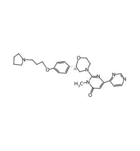 Cn1c(N2CCO[C@@H](c3ccc(OCCCN4CCCC4)cc3)C2)nc(-c2ccncn2)cc1=O